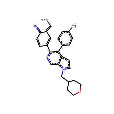 CN/C=C1/C=C(c2ncc3c(ccn3CC3CCOCC3)c2-c2ccc(C#N)cc2)C=CC1=N